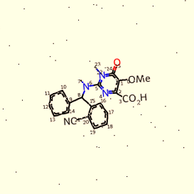 COc1c(C(=O)O)nc(N(C)C(c2ccccc2)c2ccccc2C#N)n(C)c1=O